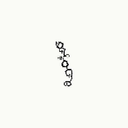 O=C(Nc1ccc(C2CCN(CC3CCOC3)CC2)cc1)N1Cc2ccncc2C1